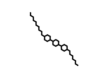 CCCCCCCCCCC1CCC(C2CCC(C3CCC(CCCCCCC)CC3)CC2)CC1